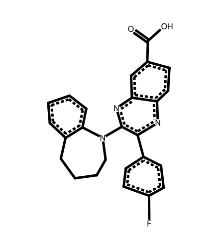 O=C(O)c1ccc2nc(-c3ccc(F)cc3)c(N3CCCCc4ccccc43)nc2c1